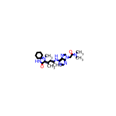 CC(/C=C(\C=O)Nc1ncnc2c1ncn2CC(=O)N(C)C)=C1\C(=O)NC2(CCCCC2)N1C